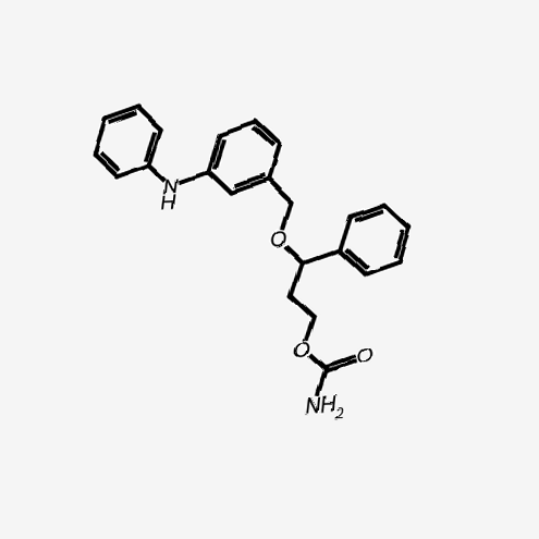 NC(=O)OCCC(OCc1cccc(Nc2ccccc2)c1)c1ccccc1